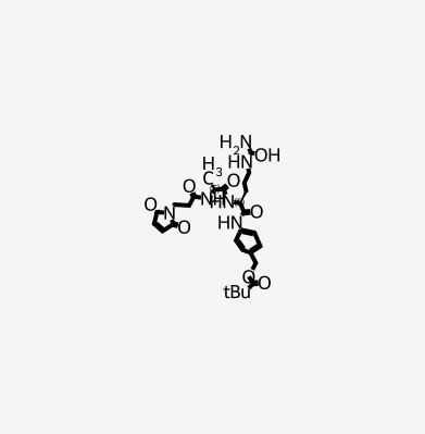 C[C@H](NC(=O)CCN1C(=O)C=CC1=O)C(=O)N[C@@H](CCCNC(N)O)C(=O)Nc1ccc(COC(=O)C(C)(C)C)cc1